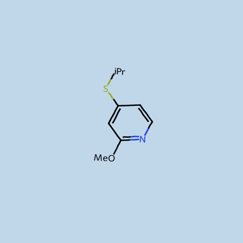 COc1cc(SC(C)C)ccn1